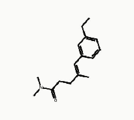 CCc1cccc(/C=C(\C)CCC(=O)N(C)C)c1